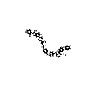 Nc1ncnc2c1c(-c1ccc(Oc3ccccc3)cc1)nn2C1CCN(CC2CCN(CCCC(=O)N3CCC(c4ccc5c(c4)CN(C4CCC(=O)NC4=O)C5=O)CC3)CC2)CC1